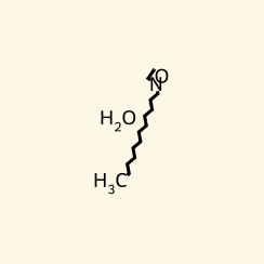 CCCCCCCCCCCCN1CCO1.O